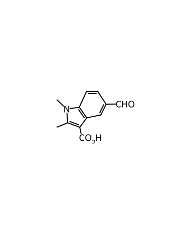 Cc1c(C(=O)O)c2cc(C=O)ccc2n1C